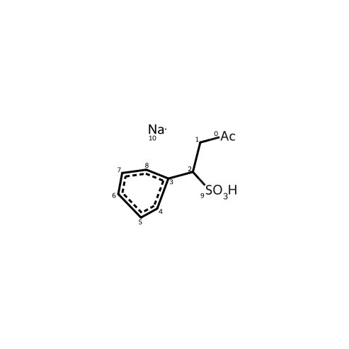 CC(=O)CC(c1ccccc1)S(=O)(=O)O.[Na]